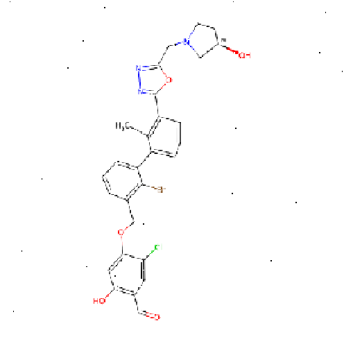 Cc1c(-c2nnc(CN3CC[C@@H](O)C3)o2)cccc1-c1cccc(COc2cc(O)c(C=O)cc2Cl)c1Br